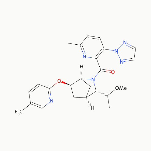 COC(C)[C@@H]1[C@H]2C[C@@H](Oc3ccc(C(F)(F)F)cn3)[C@H](C2)N1C(=O)c1nc(C)ccc1-n1nccn1